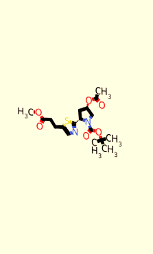 COC(=O)CCc1cnc([C@@H]2C[C@@H](OC(C)=O)CN2C(=O)OC(C)(C)C)s1